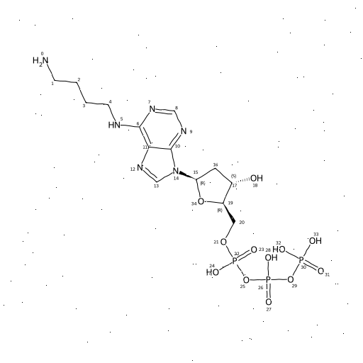 NCCCCNc1ncnc2c1ncn2[C@H]1C[C@H](O)[C@@H](COP(=O)(O)OP(=O)(O)OP(=O)(O)O)O1